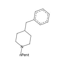 CCCCCN1CCC(Cc2ccccc2)CC1